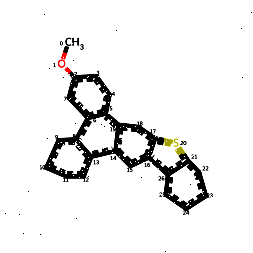 COc1ccc2c(c1)c1ccccc1c1cc3c(cc21)sc1ccccc13